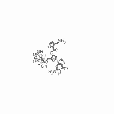 NCc1ccoc1C(=O)O[C@@H]1C[C@H](n2cnc3c(=O)[nH]c(N)nc32)OC1COP(=O)(O)OP(=O)(O)OP(=O)(O)O